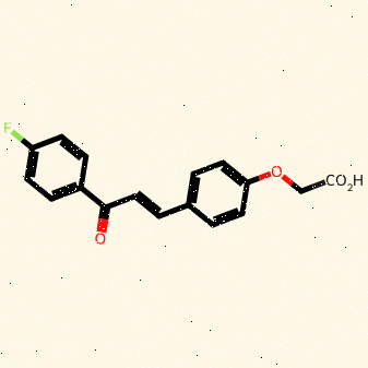 O=C(O)COc1ccc(/C=C/C(=O)c2ccc(F)cc2)cc1